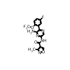 Cc1nocc1C(=O)Nc1cnc(-c2cc(F)ccc2OC(F)(F)F)c(N)n1